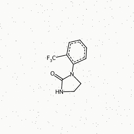 O=C1NCCN1c1ccccc1C(F)(F)F